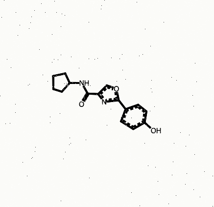 O=C(NC1CCCC1)c1coc(-c2ccc(O)cc2)n1